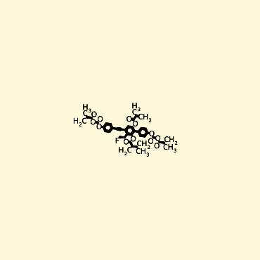 C=C(C)C(=C)C(=O)Oc1c(CCF)c(C#Cc2ccc(OC(=O)OC(=O)C(=C)C)cc2)cc(OC(=O)C(=C)C)c1-c1ccc(OC(=O)OC(=O)C(=C)C)cc1